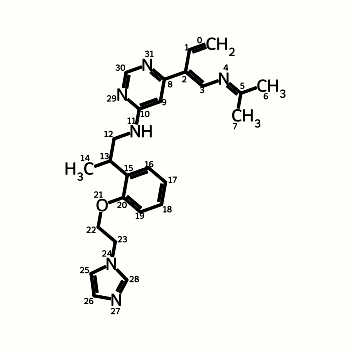 C=C/C(=C\N=C(C)C)c1cc(NCC(C)c2ccccc2OCCn2ccnc2)ncn1